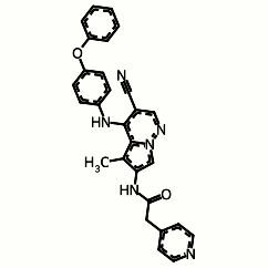 Cc1c(NC(=O)Cc2ccncc2)cn2ncc(C#N)c(Nc3ccc(Oc4ccccc4)cc3)c12